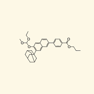 CCCOC(=O)c1ccc(-c2ccc3cc(OC(OC)OCC)c(C45CC6CC(CC(C6)C4)C5)cc3c2)cc1